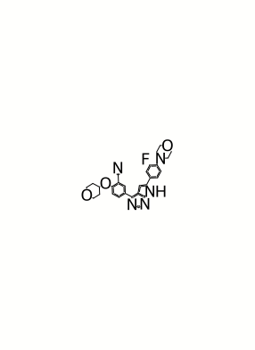 N#Cc1cc(-c2ncnc3[nH]c(-c4ccc(N5CCOCC5)c(F)c4)cc23)ccc1OC1CCOCC1